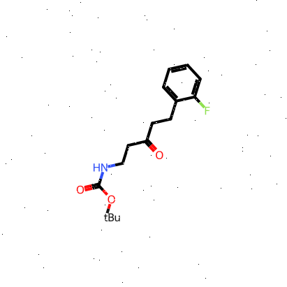 CC(C)(C)OC(=O)NCCC(=O)CCc1ccccc1F